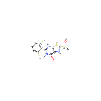 Cn1c(-c2c(F)cccc2F)nc2sc([S+](C)[O-])nc2c1=O